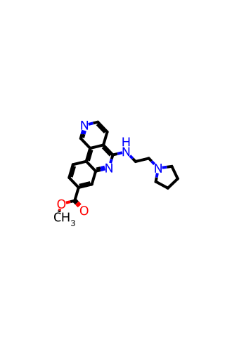 COC(=O)c1ccc2c(c1)nc(NCCN1CCCC1)c1ccncc12